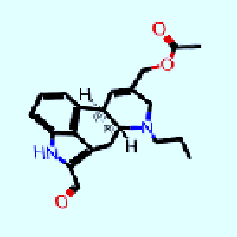 CCCN1CC(COC(C)=O)=C[C@@H]2c3cccc4[nH]c(C=O)c(c34)C[C@H]21